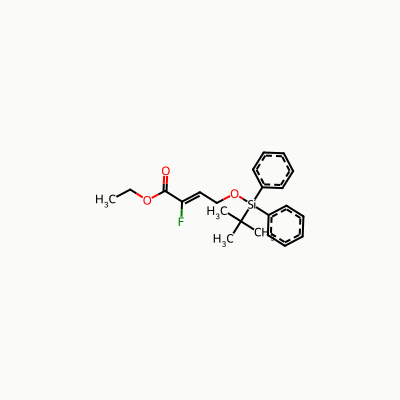 CCOC(=O)C(F)=CCO[Si](c1ccccc1)(c1ccccc1)C(C)(C)C